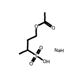 CC(=O)OCCC(C)S(=O)(=O)O.[NaH]